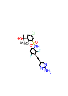 COc1c(C(C)(C)O)cc(Cl)cc1S(=O)(=O)Nc1ccc(F)c(C#Cc2cnc(N)nc2)c1F